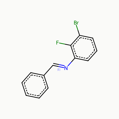 Fc1c(Br)cccc1/N=C/c1ccccc1